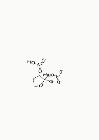 O=[N+]([O-])O.O=[N+]([O-])O.OC1(O)CCCO1